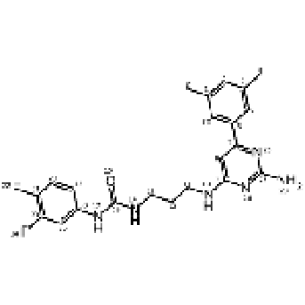 Cc1cc(C)cc(-c2cc(NCCCNC(=O)Nc3ccc(F)c(F)c3)nc(N)n2)c1